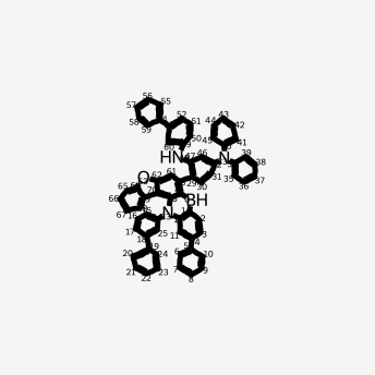 B1c2ccc(-c3ccccc3)cc2N(c2cccc(-c3ccccc3)c2)c2c1c(-c1ccc(N(c3ccccc3)c3ccccc3)cc1Nc1cccc(-c3ccccc3)c1)cc1oc3ccccc3c21